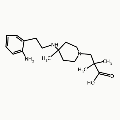 CC1(NCCc2ccccc2N)CCN(CC(C)(C)C(=O)O)CC1